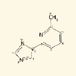 Cc1[c]ccc(-n2cncn2)n1